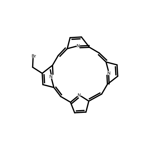 BrCC1=CC2=CC3=NC(=CC4=NC(=CC5=NC(=CC1=N2)C=C5)C=C4)C=C3